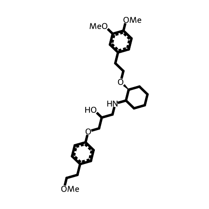 COCCc1ccc(OCC(O)CNC2CCCC[C@@H]2OCCc2ccc(OC)c(OC)c2)cc1